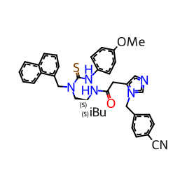 CC[C@H](C)[C@@H](CN(Cc1cccc2ccccc12)C(=S)Nc1ccc(OC)cc1)NC(=O)Cc1cncn1Cc1ccc(C#N)cc1